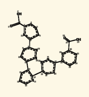 O=C(O)c1cccc(-c2ccc(-c3cccnc3-c3ccc(-c4cccc(C(=O)O)n4)nn3)nn2)n1